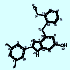 Cc1cc(C)cc(-c2nc3c(Cc4ccccc4CBr)cc(O)cc3[nH]2)c1